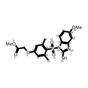 COC(=O)COc1cc(C)c(S(=O)(=O)n2c(S)nc3cc(OC)ccc32)c(C)c1